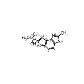 Cc1nc2c(ccc3oc([Si](C)(C)C)cc32)s1